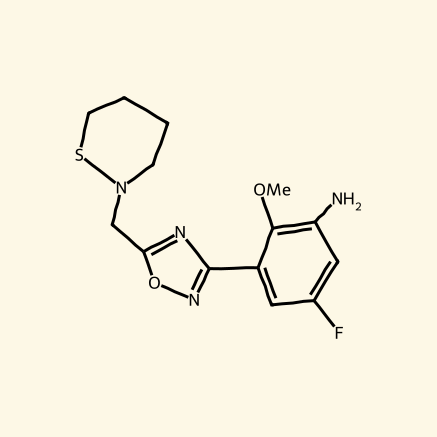 COc1c(N)cc(F)cc1-c1noc(CN2CCCCS2)n1